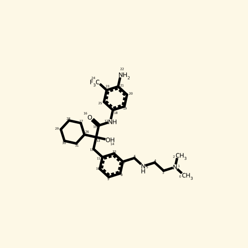 CN(C)CCNCc1cccc(CC(O)(C(=O)Nc2ccc(N)c(C(F)(F)F)c2)C2CCCCC2)c1